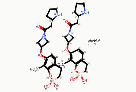 O=C(O)c1c(OC2CN(C(=O)C[C@H]3CCCN3)C2)ccc2c1O[B-](O)(O)CC2.O=C(O)c1c(OC2CN(C(=O)C[C@H]3CCCN3)C2)ccc2c1O[B-](O)(O)CC2.[Na+].[Na+]